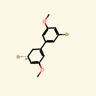 COC1=C[C@H](Br)CC(c2cc(Br)cc(OC)c2)=C1